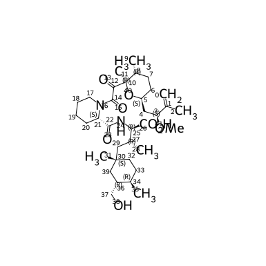 C=C(C)[C@H](C[C@@H]1CC[C@@H](C)[C@](C)(C(=O)C(=O)N2CCCC[C@H]2C(=O)N[C@@H](C(=O)O)[C@H](C)C[C@]2(C)CC[C@@H](C)[C@H](CO)C2)O1)OC